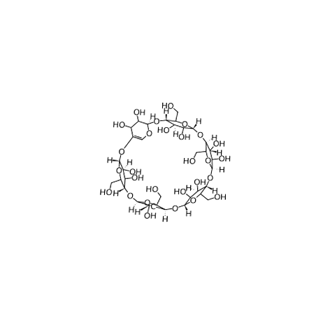 OCC1O[C@@H]2OC3=CO[C@H](O[C@@H]4C(CO)O[C@H](O[C@@H]5C(CO)O[C@H](O[C@@H]6C(CO)O[C@H](O[C@H]7C[C@H](O)[C@H](OC7CO)O[C@H]1C(O)[C@@H]2O)C(O)[C@H]6O)C(O)[C@H]5O)C(O)[C@H]4O)C(O)C3O